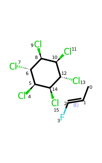 C/C=C/F.Cl[C@H]1[C@H](Cl)[C@@H](Cl)[C@@H](Cl)[C@H](Cl)[C@H]1Cl